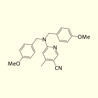 COc1ccc(CN(Cc2ccc(OC)cc2)c2cc(C)c(C#N)cn2)cc1